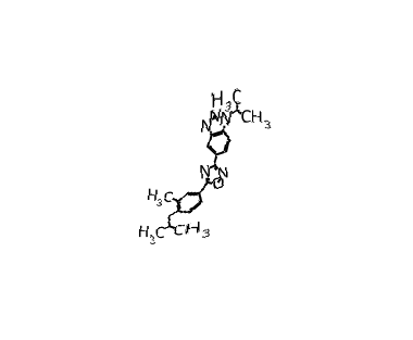 Cc1cc(-c2nc(-c3ccc4c(c3)nnn4C(C)C)no2)ccc1CC(C)C